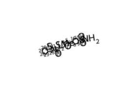 CS/C(=C\c1ccc(-c2ccc(S(N)(=O)=O)cc2)o1)C(=O)N(C=S)Cc1ccccc1